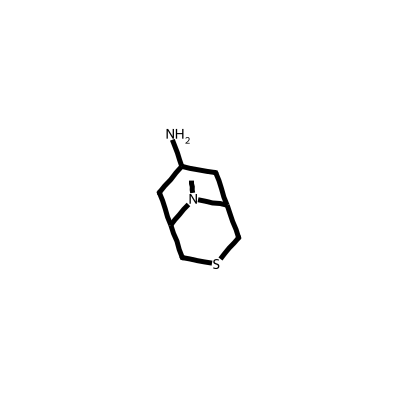 CN1C2CSCC1CC(N)C2